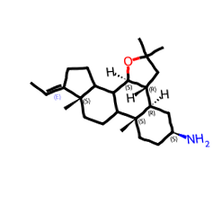 C/C=C1\CCC2C3C(CC[C@]12C)[C@@]1(C)CC[C@H](N)C[C@@H]1[C@H]1CC(C)(C)O[C@H]31